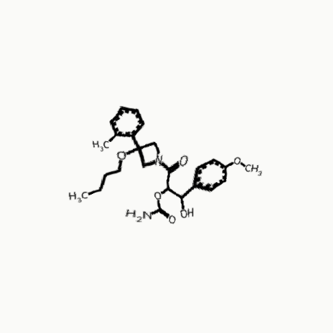 CCCCOC1(c2ccccc2C)CN(C(=O)C(OC(N)=O)C(O)c2ccc(OC)cc2)C1